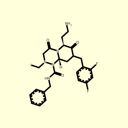 NCC[C@H]1C(=O)C(Cc2ccc(F)cc2F)C[C@H]2N1C(=O)CN(CI)N2C(=O)NCc1ccccc1